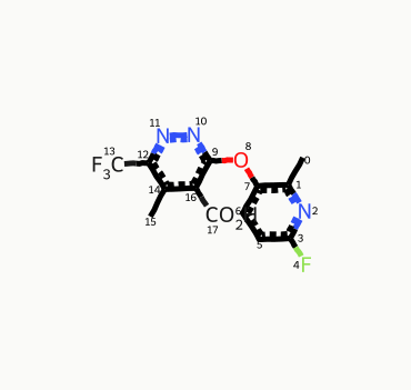 Cc1nc(F)ccc1Oc1nnc(C(F)(F)F)c(C)c1C(=O)O